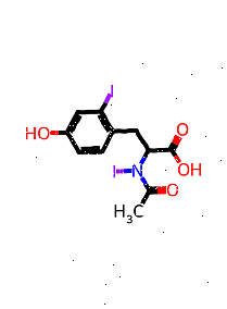 CC(=O)N(I)C(Cc1ccc(O)cc1I)C(=O)O